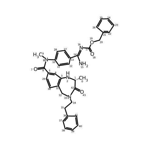 C[C@H]1Nc2cc(C(=O)N(C)c3ccc(C(N)=NC(=O)OCc4ccccc4)cc3)ccc2CN(CCc2ccccc2)C1=O